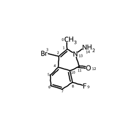 Cc1c(Br)c2cccc(F)c2c(=O)n1N